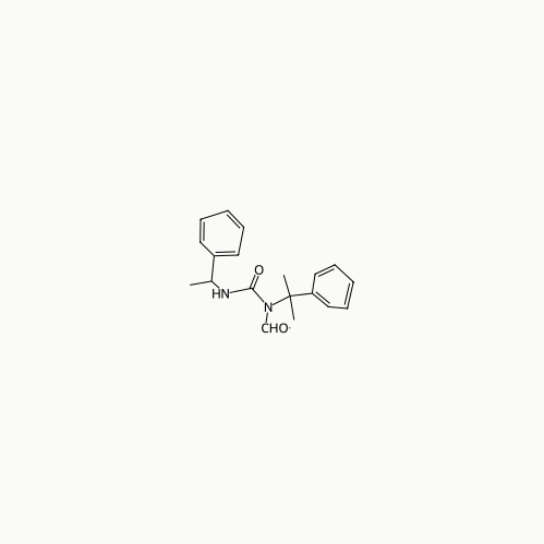 CC(NC(=O)N([C]=O)C(C)(C)c1ccccc1)c1ccccc1